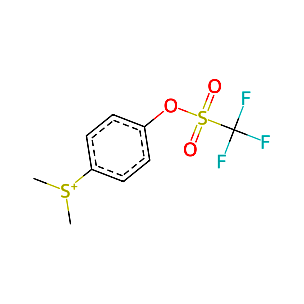 C[S+](C)c1ccc(OS(=O)(=O)C(F)(F)F)cc1